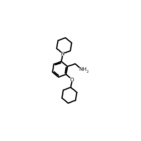 NCc1c(OC2CCCCC2)cccc1N1CCCCC1